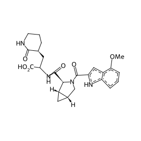 COc1cccc2[nH]c(C(=O)N3C[C@@H]4C[C@@H]4[C@H]3C(=O)NC(C[C@@H]3CCCNC3=O)C(=O)O)cc12